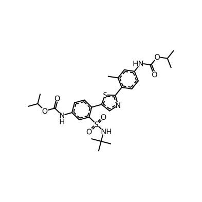 Cc1cc(NC(=O)OC(C)C)ccc1-c1ncc(-c2ccc(NC(=O)OC(C)C)cc2S(=O)(=O)NC(C)(C)C)s1